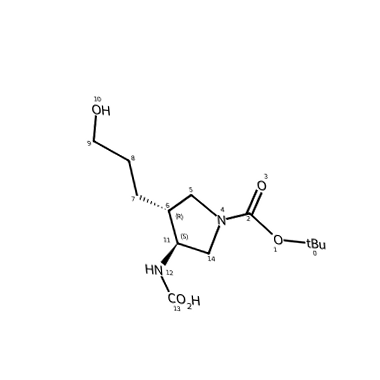 CC(C)(C)OC(=O)N1C[C@@H](CCCO)[C@H](NC(=O)O)C1